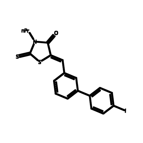 CCCN1C(=O)/C(=C/c2cccc(-c3ccc(I)cc3)c2)SC1=S